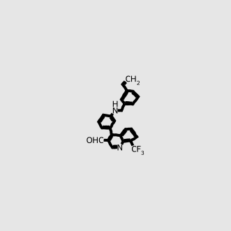 C=Cc1cccc(CNc2cccc(-c3c(C=O)cnc4c(C(F)(F)F)cccc34)c2)c1